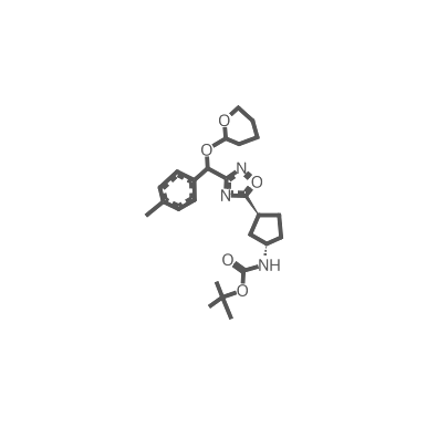 Cc1ccc(C(OC2CCCCO2)c2noc([C@H]3CC[C@H](NC(=O)OC(C)(C)C)C3)n2)cc1